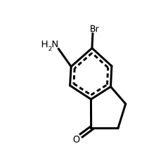 Nc1cc2c(cc1Br)CCC2=O